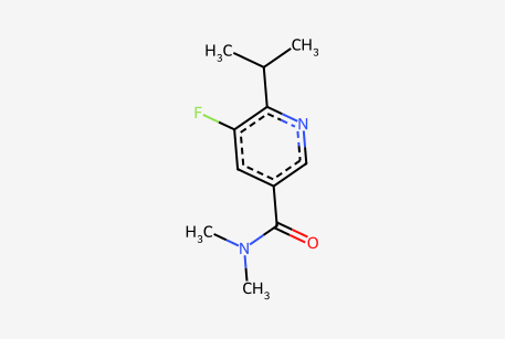 CC(C)c1ncc(C(=O)N(C)C)cc1F